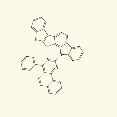 c1ccc(-c2nc(-n3c4ccccc4c4ccc5c(sc6sc7ccccc7c65)c43)nc3c2ccc2ccccc23)cc1